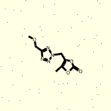 COCc1nnn(Cc2oc(=O)oc2C)n1